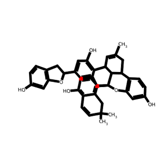 CC1=CC2c3c(O)cc(C4Cc5ccc(O)cc5O4)cc3OC3(c4ccc(O)c5c4CC(C)(C)C=C5)Oc4cc(O)ccc4C(C1)C23